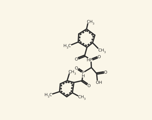 Cc1cc(C)c(C(=O)[PH](=O)C(C(=O)O)[PH](=O)C(=O)c2c(C)cc(C)cc2C)c(C)c1